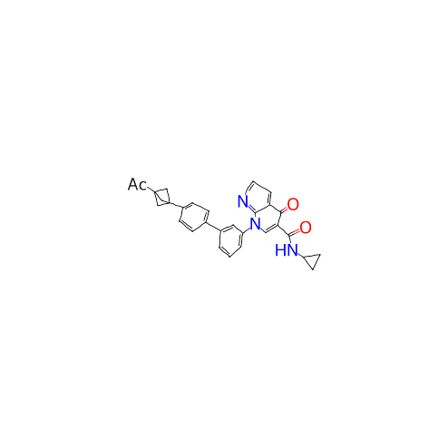 CC(=O)C12CC(c3ccc(-c4cccc(-n5cc(C(=O)NC6CC6)c(=O)c6cccnc65)c4)cc3)(C1)C2